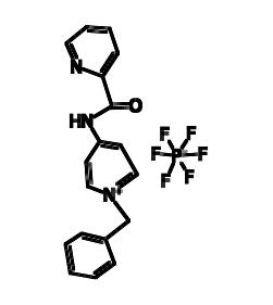 F[P-](F)(F)(F)(F)F.O=C(Nc1cc[n+](Cc2ccccc2)cc1)c1ccccn1